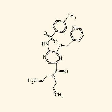 C=CCN(CC=C)C(=O)c1cnc(NS(=O)(=O)c2ccc(C)cc2)c(OCc2cccnc2)n1